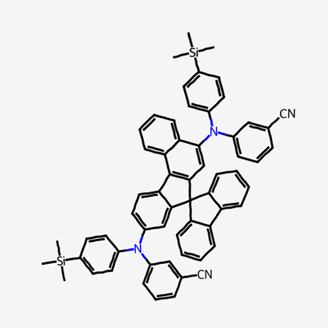 C[Si](C)(C)c1ccc(N(c2cccc(C#N)c2)c2ccc3c(c2)C2(c4ccccc4-c4ccccc42)c2cc(N(c4ccc([Si](C)(C)C)cc4)c4cccc(C#N)c4)c4ccccc4c2-3)cc1